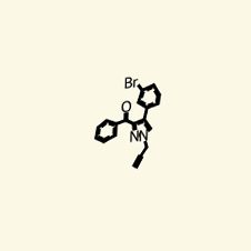 C#CCn1cc(-c2cccc(Br)c2)c(C(=O)c2ccccc2)n1